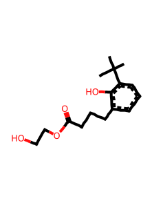 CC(C)(C)c1cccc(CCCC(=O)OCCO)c1O